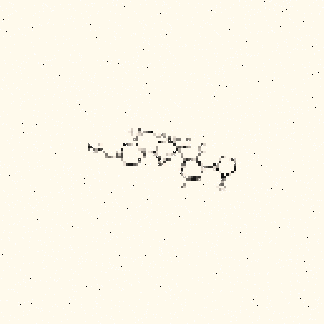 NC[C@H](NS(=O)(=O)c1cc(F)cc(N2CCCC2=O)c1Cl)C(=O)N1CCN(CC(F)(F)F)CC1